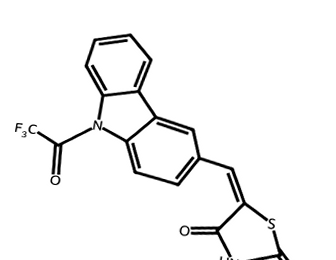 O=C1NC(=S)S/C1=C/c1ccc2c(c1)c1ccccc1n2C(=O)C(F)(F)F